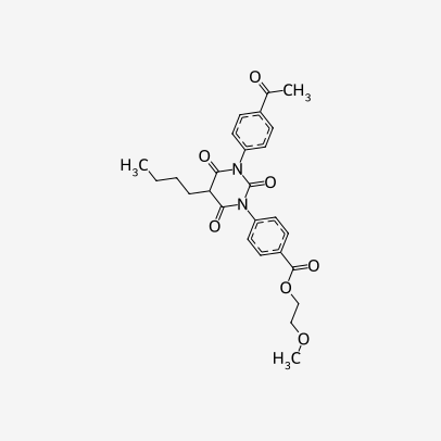 CCCCC1C(=O)N(c2ccc(C(C)=O)cc2)C(=O)N(c2ccc(C(=O)OCCOC)cc2)C1=O